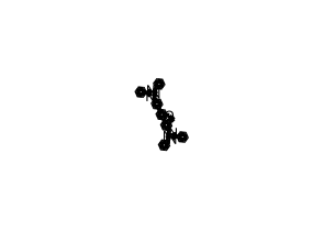 CC1(C)Oc2cc(-c3ccc(-c4nc(-c5ccccc5)nc(-c5ccccc5)n4)cc3)ccc2-c2ccc(-c3nc(-c4ccccc4)nc(-c4ccccc4)n3)cc21